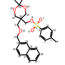 Cc1ccc(S(=O)(=O)OCC2(COCc3ccc4ccccc4c3)COC(C)(C)OC2)cc1